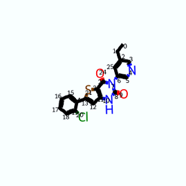 CCc1cncc(-n2c(=O)[nH]c3cc(-c4ccccc4Cl)sc3c2=O)c1